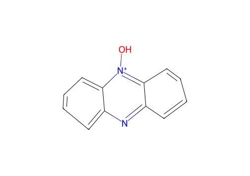 O[n+]1c2ccccc2nc2ccccc21